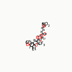 CCc1cc(OC(F)(F)F)cc2c1OC(C(F)(F)F)C(C(=O)O[C@@H](C)OC(=O)CCCO[N+](=O)[O-])=C2